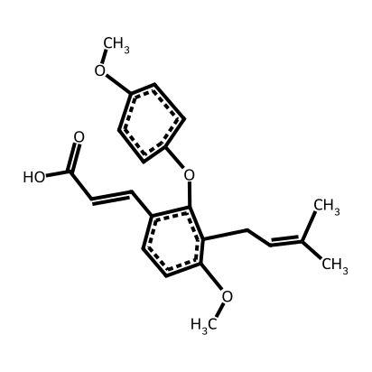 COc1ccc(Oc2c(/C=C/C(=O)O)ccc(OC)c2CC=C(C)C)cc1